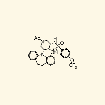 CC(=O)N1C[C@H](NS(=O)(=O)c2ccc(OC(F)(F)F)cc2)[C@@H](O)[C@H](N2c3ccccc3CCc3ccccc32)C1